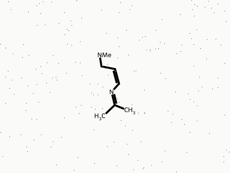 CNC/C=C\N=C(C)C